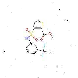 COC(=O)c1sccc1S(=O)(=O)Nc1cccc(C(C)(F)F)c1